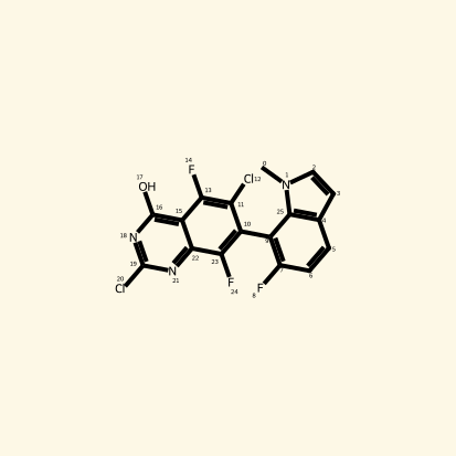 Cn1ccc2ccc(F)c(-c3c(Cl)c(F)c4c(O)nc(Cl)nc4c3F)c21